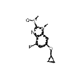 Cn1c([S+](C)[O-])nc2c(F)cc(OC3CC3)cc21